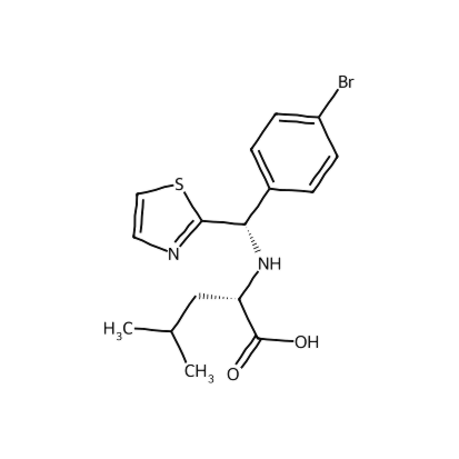 CC(C)C[C@H](N[C@@H](c1ccc(Br)cc1)c1nccs1)C(=O)O